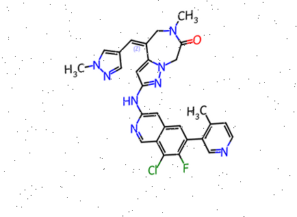 Cc1ccncc1-c1cc2cc(Nc3cc4n(n3)CC(=O)N(C)C/C4=C/c3cnn(C)c3)ncc2c(Cl)c1F